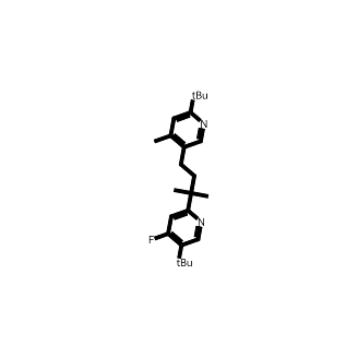 Cc1cc(C(C)(C)C)ncc1CCC(C)(C)c1cc(F)c(C(C)(C)C)cn1